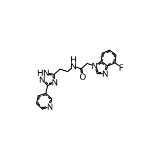 O=C(Cn1cnc2c(F)cccc21)NCCc1nc(-c2cccnc2)n[nH]1